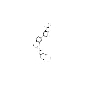 CC1(C)Cc2nc(N3CCOc4ccc(-c5cnc6sc(N)nc6c5)cc4C3)sc2C(=O)N1